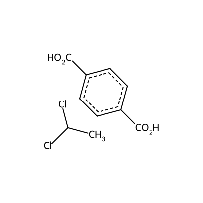 CC(Cl)Cl.O=C(O)c1ccc(C(=O)O)cc1